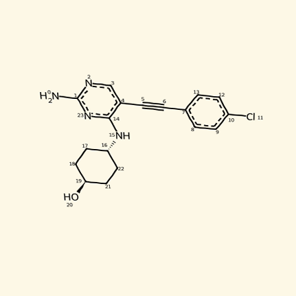 Nc1ncc(C#Cc2ccc(Cl)cc2)c(N[C@H]2CC[C@H](O)CC2)n1